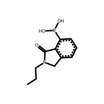 CCCN1Cc2cccc(B(O)O)c2C1=O